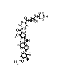 COc1ccc(-c2cnc3c(Nc4ccc(C(=O)N5CCC(C(=O)NCC(O)CN6CCNCC6)CC5)c(C)c4)nccn23)c(F)c1F